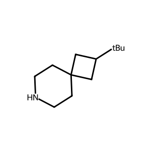 CC(C)(C)C1CC2(CCNCC2)C1